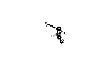 [2H]C(C)(C)N(Cc1ccccc1OCCCCCC(=O)O)/C(=N/O)c1ccc(-c2ccco2)cc1